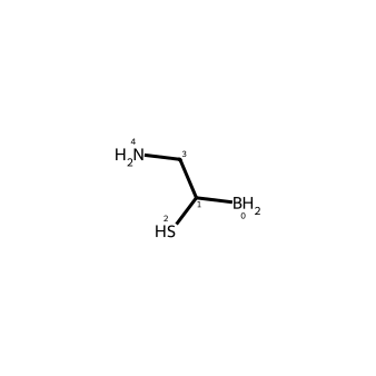 BC(S)CN